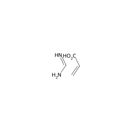 C=CC(=O)O.N=CN